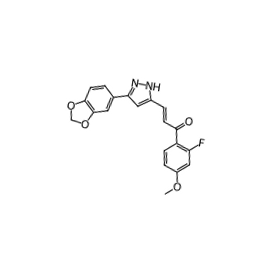 COc1ccc(C(=O)C=Cc2cc(-c3ccc4c(c3)OCO4)n[nH]2)c(F)c1